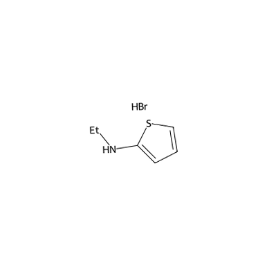 Br.CCNc1cccs1